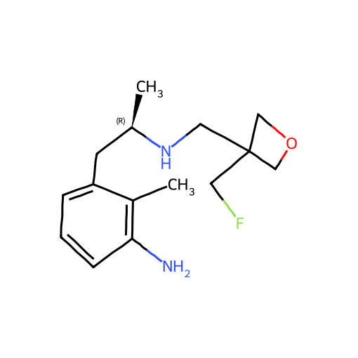 Cc1c(N)cccc1C[C@@H](C)NCC1(CF)COC1